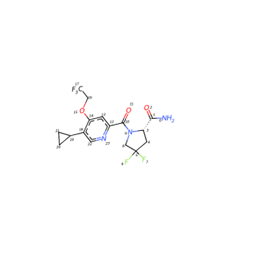 NC(=O)[C@@H]1CC(F)(F)CN1C(=O)c1cc(OCC(F)(F)F)c(C2CC2)cn1